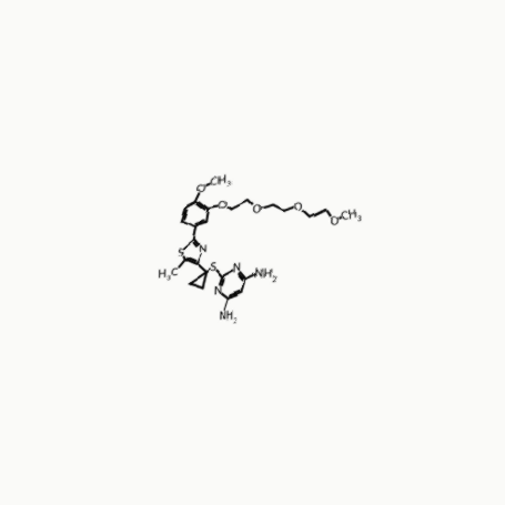 COCCOCCOCCOc1cc(-c2nc(C3(Sc4nc(N)cc(N)n4)CC3)c(C)s2)ccc1OC